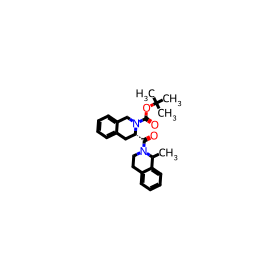 CC1c2ccccc2CCN1C(=O)[C@@H]1Cc2ccccc2CN1C(=O)OC(C)(C)C